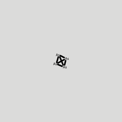 [As]12[As]3[As]1[As]23